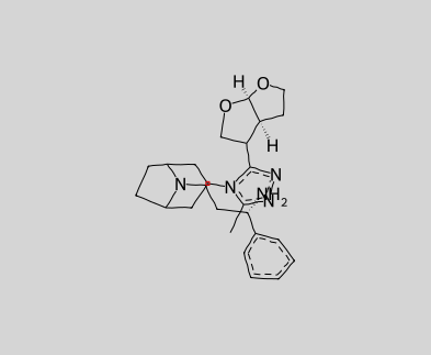 Cc1nnc(C2CO[C@H]3OCC[C@@H]23)n1C1CC2CCC(C1)N2CC[C@H](N)c1ccccc1